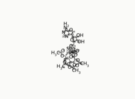 CC(=O)OC[C@H](F)C1O[C@@H](OP(=O)(O)OP(O)(=S)OC[C@H]2O[C@@H](c3coc4c(N)ncnc34)C(O)C2O)C(OC(C)=O)C(OC(C)=O)[C@@H]1OC(C)=O